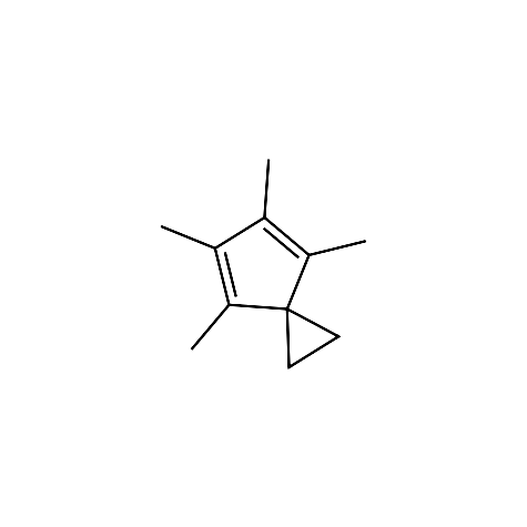 CC1=C(C)C2(CC2)C(C)=C1C